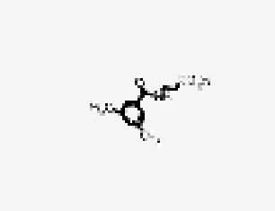 Cc1cc(C(=O)NCCC(=O)O)cc(C(F)(F)F)c1